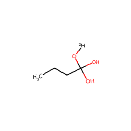 [2H]OC(O)(O)CCC